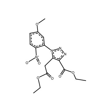 CCOC(=O)Cc1c(C(=O)OCC)nnn1-c1cc(OC)ccc1[N+](=O)[O-]